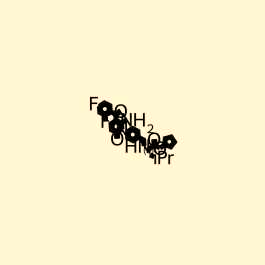 CC(C)C[C@H](NCc1ccc(-n2c(N)c(C(=O)c3ccc(F)cc3F)ccc2=O)cc1)C(=O)OC1CCCC1